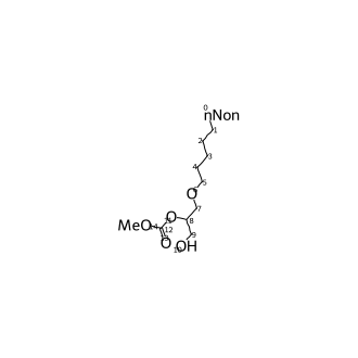 CCCCCCCCCCCCCCOCC(CO)OC(=O)OC